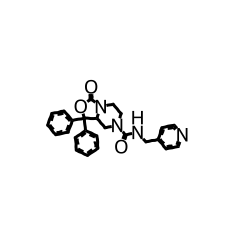 O=C(NCc1ccncc1)N1CCN2C(=O)OC(c3ccccc3)(c3ccccc3)C2C1